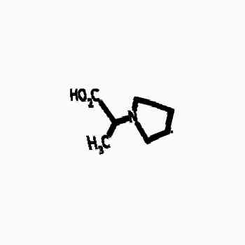 CC(C(=O)O)N1C[CH]CC1